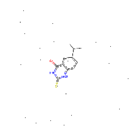 CC(C)c1ccc2[nH]c(=S)[nH]c(=O)c2c1